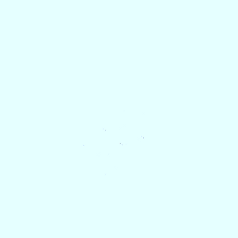 CC(Nc1ncnc2cc(Cl)sc12)c1ccccc1C(F)(F)P